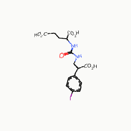 O=C(O)CCC(NC(=O)NCC(C(=O)O)c1ccc(I)cc1)C(=O)O